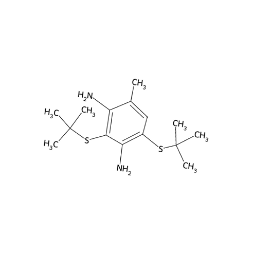 Cc1cc(SC(C)(C)C)c(N)c(SC(C)(C)C)c1N